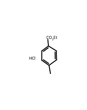 CCOC(=O)c1ccc(C)cc1.Cl